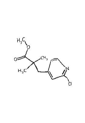 COC(=O)C(C)(C)Cc1ccnc(Cl)c1